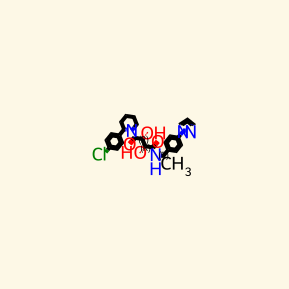 C[C@@H](NC(=O)[C@H](O)[C@@H](O)C(=O)N1CCCCC1c1ccc(Cl)cc1)c1ccc(-n2cccn2)cc1